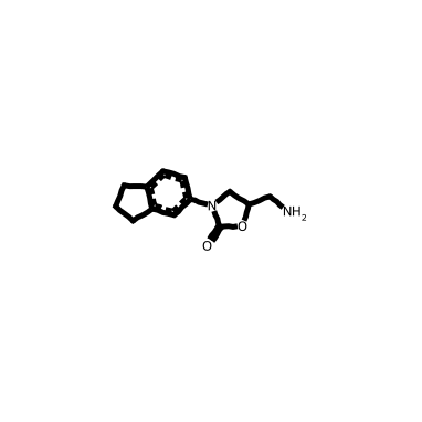 NCC1CN(c2ccc3c(c2)CCC3)C(=O)O1